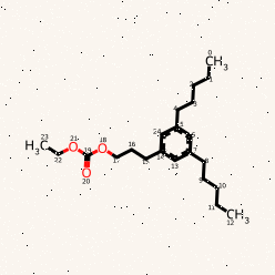 CCCCCc1cc(CCCCC)cc(CCCOC(=O)OCC)c1